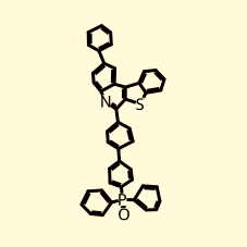 O=P(c1ccccc1)(c1ccccc1)c1ccc(-c2ccc(-c3nc4ccc(-c5ccccc5)cc4c4c3sc3ccccc34)cc2)cc1